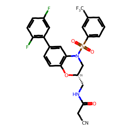 N#CCC(=O)NC[C@H]1CN(S(=O)(=O)c2cccc(C(F)(F)F)c2)c2cc(-c3cc(F)ccc3F)ccc2O1